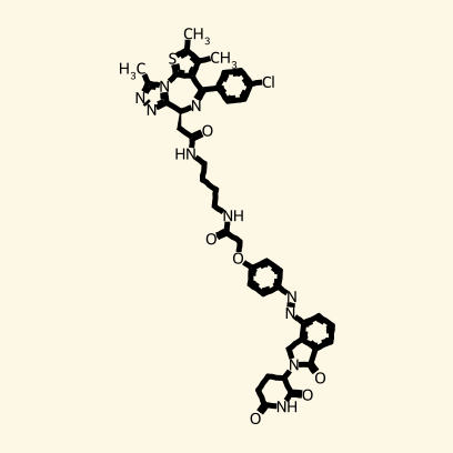 Cc1sc2c(c1C)C(c1ccc(Cl)cc1)=N[C@@H](CC(=O)NCCCCNC(=O)COc1ccc(/N=N/c3cccc4c3CN(C3CCC(=O)NC3=O)C4=O)cc1)c1nnc(C)n1-2